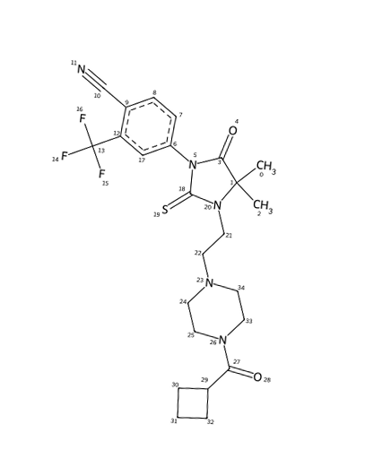 CC1(C)C(=O)N(c2ccc(C#N)c(C(F)(F)F)c2)C(=S)N1CCN1CCN(C(=O)C2CCC2)CC1